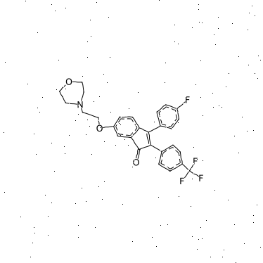 O=C1C(c2ccc(C(F)(F)F)cc2)=C(c2ccc(F)cc2)c2ccc(OCCN3CCOCC3)cc21